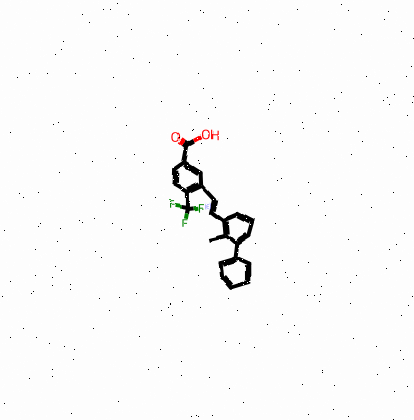 Cc1c(/C=C/c2cc(C(=O)O)ccc2C(F)(F)F)cccc1-c1ccccc1